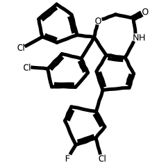 O=C1COC(c2cccc(Cl)c2)(c2cccc(Cl)c2)c2cc(-c3ccc(F)c(Cl)c3)ccc2N1